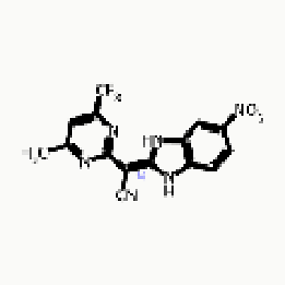 Cc1cc(C(F)(F)F)nc(/C(C#N)=C2/Nc3ccc([N+](=O)[O-])cc3N2)n1